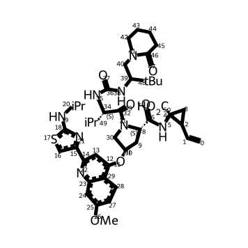 C=CC1C[C@]1(NC(=O)[C@@H]1C[C@@H](Oc2cc(-c3csc(NC(C)C)n3)nc3cc(OC)ccc23)CN1C(=O)[C@@H](NC(=O)NC(CN1CCCCC1=O)C(C)(C)C)C(C)C)C(=O)O